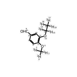 [2H]C([2H])([2H])Oc1ccc(C=O)cc1OC([2H])([2H])C([2H])([2H])[2H]